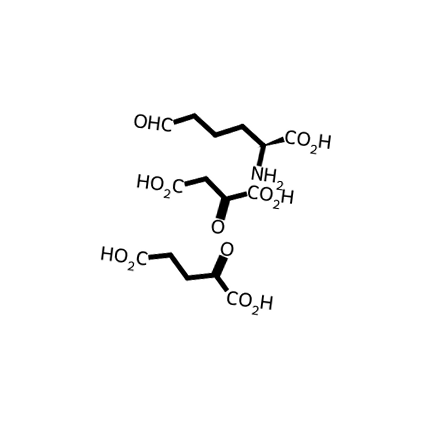 N[C@@H](CCCC=O)C(=O)O.O=C(O)CC(=O)C(=O)O.O=C(O)CCC(=O)C(=O)O